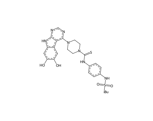 CCC(C)S(=O)(=O)Nc1ccc(NC(=S)N2CCN(c3ncnc4[nH]c5cc(O)c(O)cc5c34)CC2)cc1